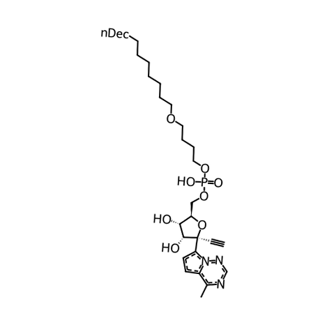 C#C[C@@]1(c2ccc3c(C)ncnn23)O[C@H](COP(=O)(O)OCCCCOCCCCCCCCCCCCCCCCC)[C@@H](O)[C@H]1O